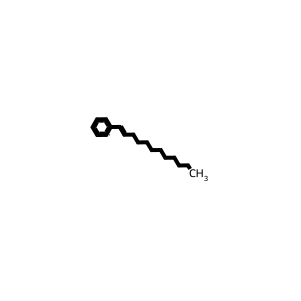 CCCCCCCCCCC=Cc1[c]cccc1